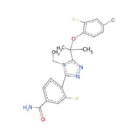 CCn1c(-c2ccc(C(N)=O)cc2F)nnc1C(C)(C)Oc1ccc(Cl)cc1F